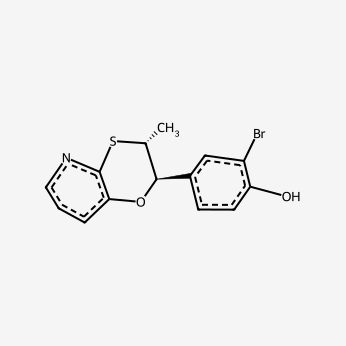 C[C@H]1Sc2ncccc2O[C@@H]1c1ccc(O)c(Br)c1